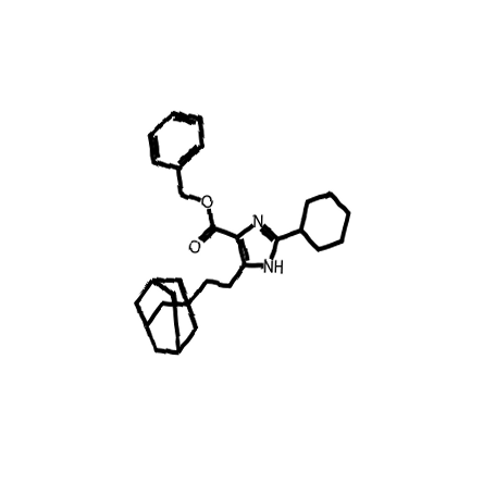 O=C(OCc1ccccc1)c1nc(C2CCCCC2)[nH]c1CCC12CC3CC(CC(C3)C1)C2